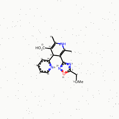 COCc1nc(C2=C(C)NC(C)=C(C(=O)O)C2c2ccccn2)no1